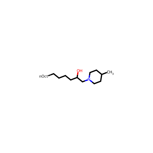 CCCCCCCCCCCCC(O)CN1CCC(C)CC1